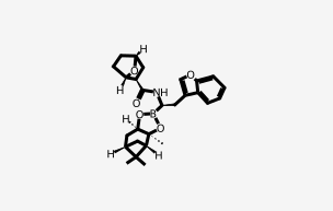 CC1(C)[C@@H]2C[C@H]3OB([C@H](Cc4coc5ccccc45)NC(=O)[C@@H]4C[C@H]5CC[C@@H]4O5)O[C@@]3(C)[C@H]1C2